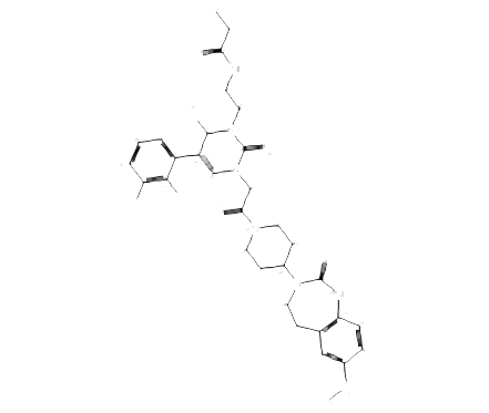 CCC(=O)NC[C@H](C)N1C(=O)N(CC(=O)N2CCC(N3CCc4cc(OC)ccc4NC3=O)CC2)C=C(c2cccc(F)c2Cl)C1O